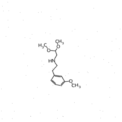 COc1cccc(CCNCC(OC)OC)c1